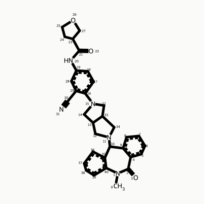 CN1C(=O)c2ccccc2C(N2CC3CN(c4ccc(NC(=O)C5CCOC5)cc4C#N)CC3C2)c2ccccc21